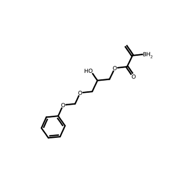 BC(=C)C(=O)OCC(O)COCOc1ccccc1